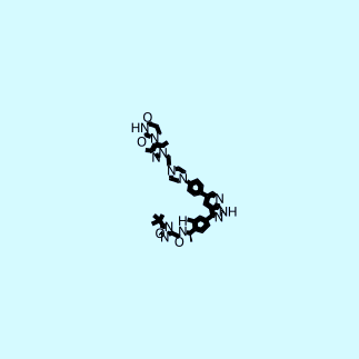 Cc1cc(-c2n[nH]c3ncc(-c4ccc(N5CCN(CCn6nc(C)c(N7CCC(=O)NC7=O)c6C)CC5)cc4)cc23)ccc1[C@@H](C)NC(=O)c1noc(C(C)(C)C)n1